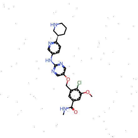 CNC(=O)c1cc(COc2cnc(Nc3ccc([C@@H]4CCCNC4)nc3)nc2)c(Cl)c(OC)c1